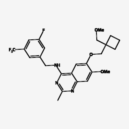 COCC1(COc2cc3c(NCc4cc(F)cc(C(F)(F)F)c4)nc(C)nc3cc2OC)CCC1